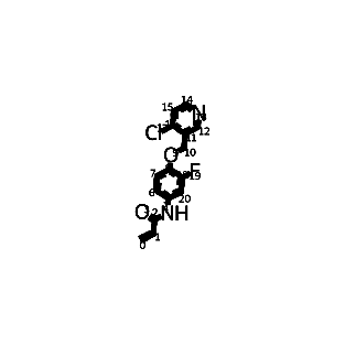 C=CC(=O)Nc1ccc(OCc2cnccc2Cl)c(F)c1